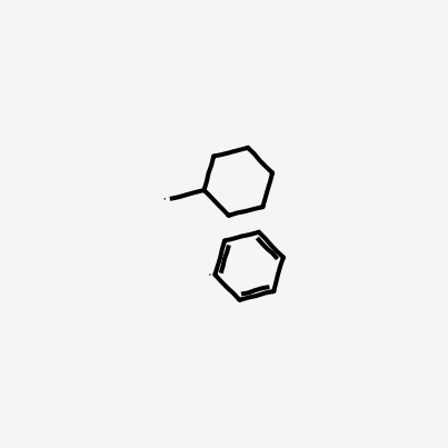 [CH2]C1CCCCC1.[c]1ccccc1